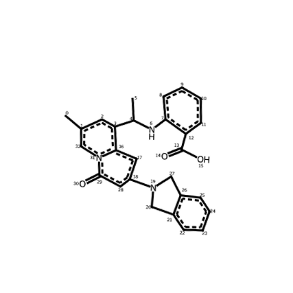 Cc1cc(C(C)Nc2ccccc2C(=O)O)c2cc(N3Cc4ccccc4C3)cc(=O)n2c1